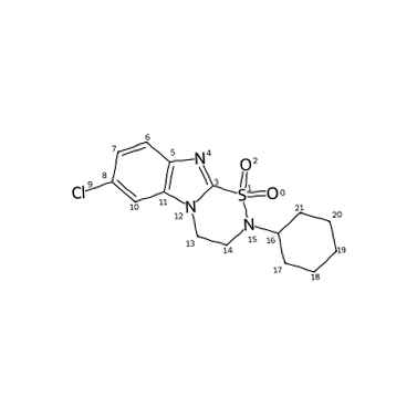 O=S1(=O)c2nc3ccc(Cl)cc3n2CCN1C1CCCCC1